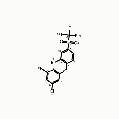 O=S(=O)(c1ccc(Oc2cc(F)cc(Cl)c2)c(Br)c1)C(F)(F)F